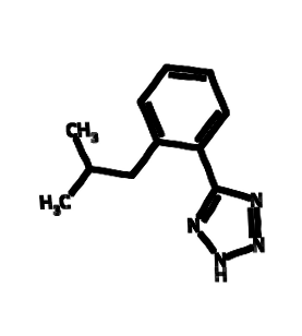 CC(C)Cc1ccccc1-c1nn[nH]n1